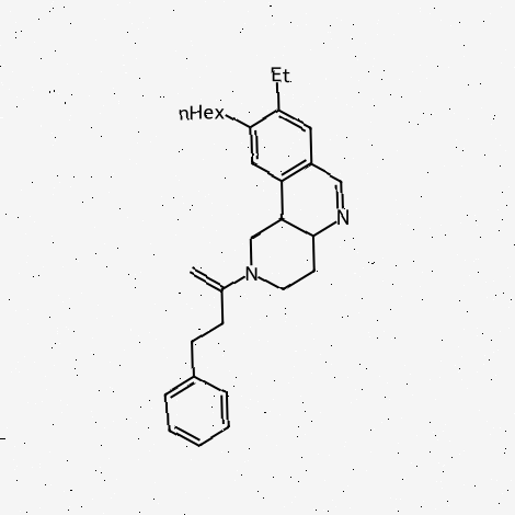 C=C(CCc1ccccc1)N1CCC2N=Cc3cc(CC)c(CCCCCC)cc3C2C1